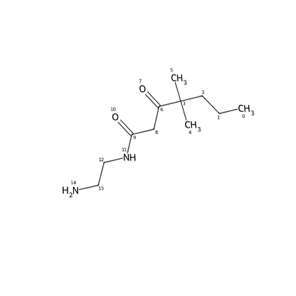 CCCC(C)(C)C(=O)CC(=O)NCCN